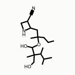 CCCC(C)(CC1NCC1C#N)OC(O)C(C)(CO)C(C)C(C)C